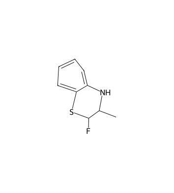 CC1Nc2ccccc2SC1F